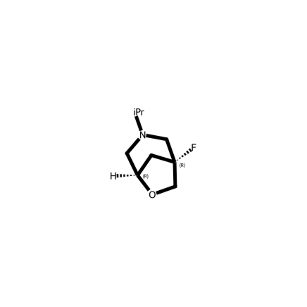 CC(C)N1C[C@H]2C[C@](F)(CO2)C1